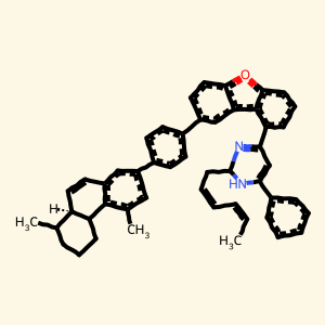 C/C=C\C=C/CC1N=C(c2cccc3oc4ccc(-c5ccc(-c6cc(C)c7c(c6)C=C[C@@H]6C(C)CCCC76)cc5)cc4c23)C=C(c2ccccc2)N1